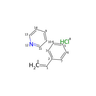 C=Cc1ccccc1.Cl.c1ccncc1